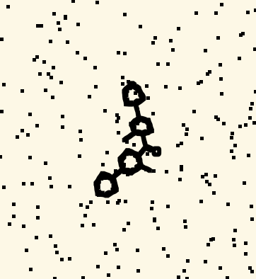 Cc1cc(-c2ccccc2)ccc1C(=O)c1ccc(-c2ccccc2)cc1C